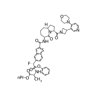 CCCOC(=O)[C@H](C)NP(=O)(Oc1ccccc1)[C@H](F)c1ccc2sc(C(=O)N[C@H]3CCC[C@H]4CC[C@@H](C(=O)N5CC(c6cnccc6N6CCOCC6)C5)N4C3=O)cc2c1